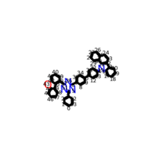 c1ccc(-c2nc(-c3ccc(-c4ccc(-n5c6ccccc6c6ccc7ccccc7c65)cc4)cc3)nc(-c3cccc4oc5ccccc5c34)n2)cc1